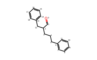 O=[C]C(CCCc1ccccc1)Cc1ccccc1